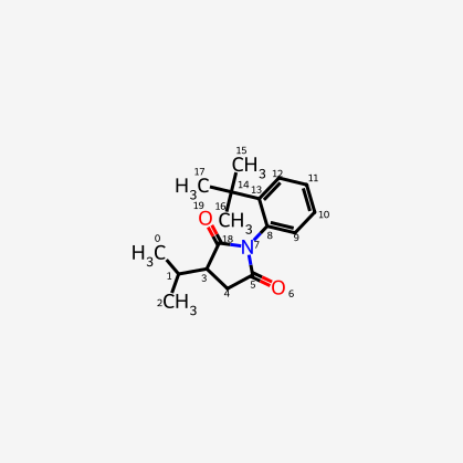 CC(C)C1CC(=O)N(c2ccccc2C(C)(C)C)C1=O